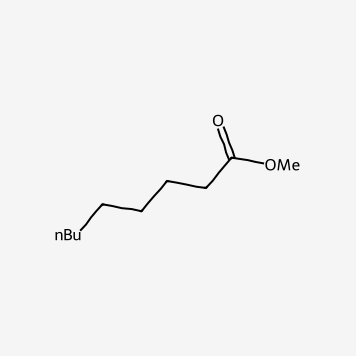 CCCCCCCCC(=O)OC